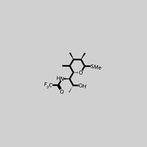 CSC1O[C@H]([C@H](NC(=O)C(F)(F)F)[C@@H](C)O)C(C)[C@@H](C)[C@H]1C